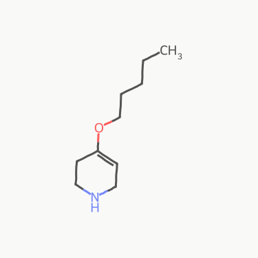 CCCCCOC1=CCNCC1